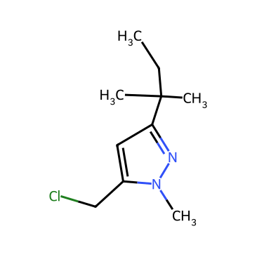 CCC(C)(C)c1cc(CCl)n(C)n1